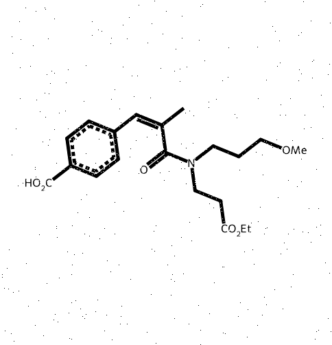 CCOC(=O)CCN(CCCOC)C(=O)C(C)=Cc1ccc(C(=O)O)cc1